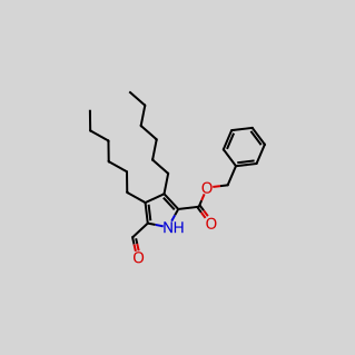 CCCCCCc1c(C=O)[nH]c(C(=O)OCc2ccccc2)c1CCCCCC